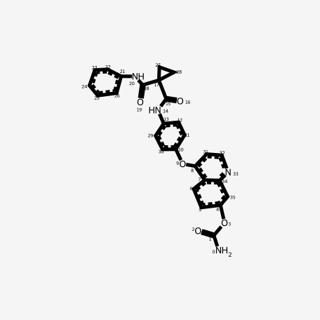 NC(=O)Oc1ccc2c(Oc3ccc(NC(=O)C4(C(=O)Nc5ccccc5)CC4)cc3)ccnc2c1